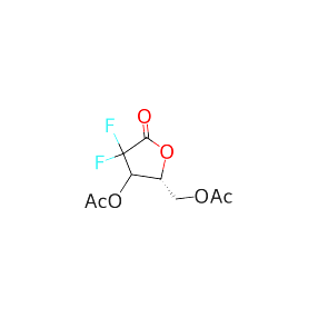 CC(=O)OC[C@H]1OC(=O)C(F)(F)C1OC(C)=O